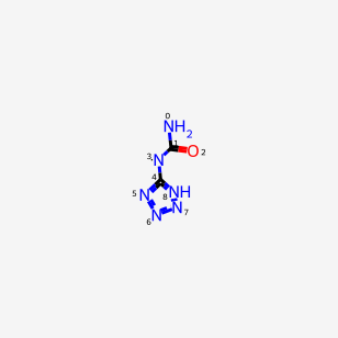 NC(=O)[N]c1nnn[nH]1